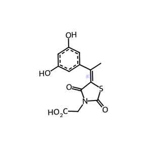 C/C(=C1\SC(=O)N(CC(=O)O)C1=O)c1cc(O)cc(O)c1